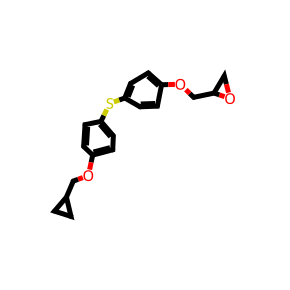 c1cc(Sc2ccc(OCC3CO3)cc2)ccc1OCC1CC1